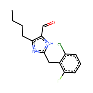 CCCCc1nc(Cc2c(F)cccc2Cl)[nH]c1C=O